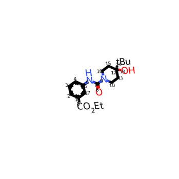 CCOC(=O)c1cccc(NC(=O)N2CCC(O)(C(C)(C)C)CC2)c1